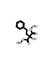 CCCCOC(=O)C(CCC)(CCc1ccccc1)C(=O)OCCCC